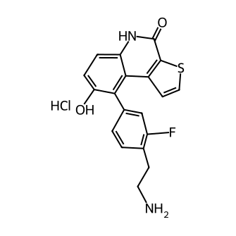 Cl.NCCc1ccc(-c2c(O)ccc3[nH]c(=O)c4sccc4c23)cc1F